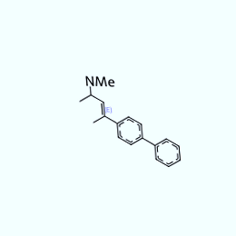 CNC(C)/C=C(\C)c1ccc(-c2ccccc2)cc1